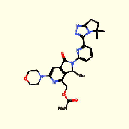 CNC(=O)OCc1nc(N2CCOCC2)cc2c1C(C(C)(C)C)N(c1cccc(-c3nnc4n3C(C)(C)CC4)n1)C2=O